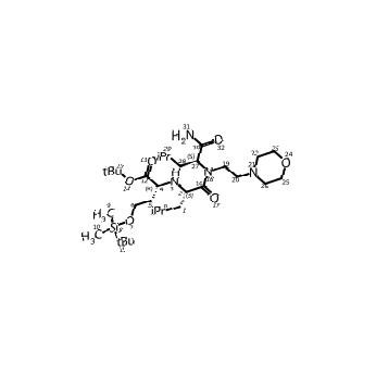 CC(C)C[C@H](N[C@H](CCO[Si](C)(C)C(C)(C)C)C(=O)OC(C)(C)C)C(=O)N(CCN1CCOCC1)[C@@H](CC(C)C)C(N)=O